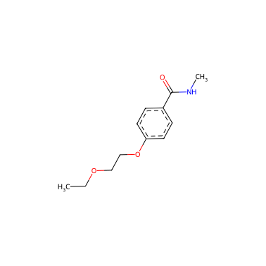 CCOCCOc1ccc(C(=O)NC)cc1